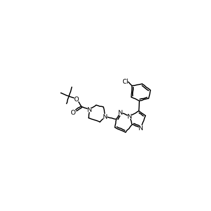 CC(C)(C)OC(=O)N1CCN(c2ccc3ncc(-c4cccc(Cl)c4)n3n2)CC1